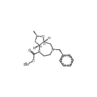 CC1C[C@@H]2[C@@H](CN(Cc3ccccc3)CCN2C(=O)OC(C)(C)C)O1